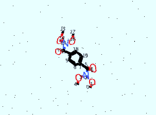 CON(OC)C(=O)c1ccc(C(=O)N(OC)OC)cc1